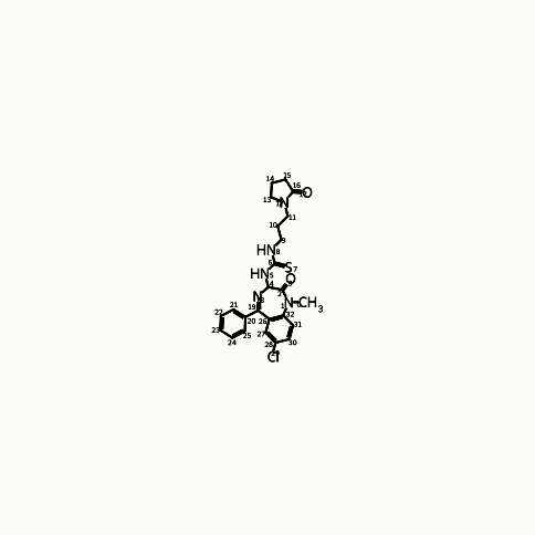 CN1C(=O)C(NC(=S)NCCCN2CCCC2=O)N=C(c2ccccc2)c2cc(Cl)ccc21